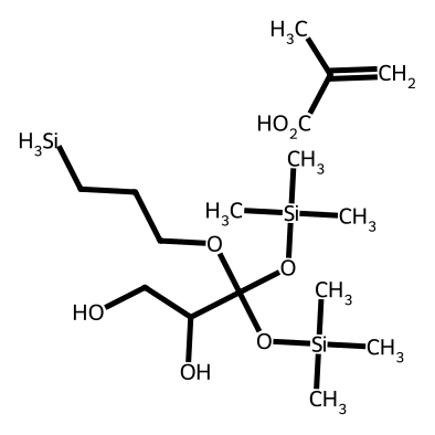 C=C(C)C(=O)O.C[Si](C)(C)OC(OCCC[SiH3])(O[Si](C)(C)C)C(O)CO